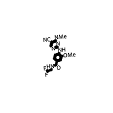 CNc1nc(Nc2ccc(C(=O)NCC(F)F)cc2OC)ncc1C#N